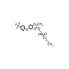 CCCCOC(=O)NCCOC(=O)C(C)Oc1ccc(Oc2ccc(C(F)(F)F)cn2)cc1